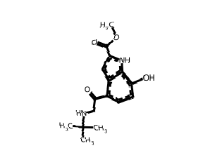 COC(=O)c1cc2c(C(=O)CNC(C)(C)C)ccc(O)c2[nH]1